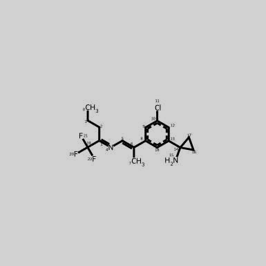 CCC/C(=N\C=C(/C)c1cc(Cl)cc(C2(N)CC2)c1)C(F)(F)F